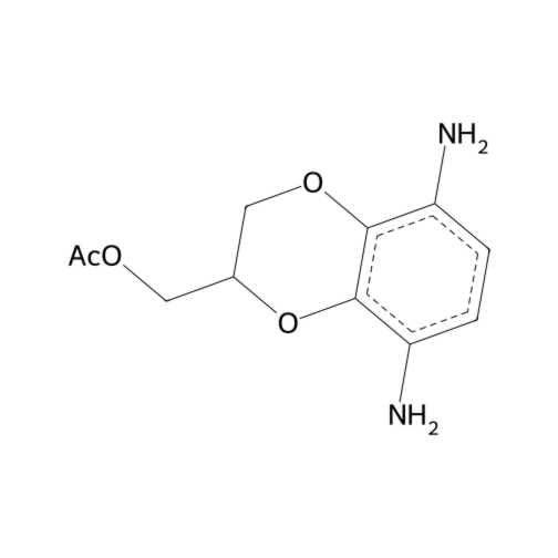 CC(=O)OCC1COc2c(N)ccc(N)c2O1